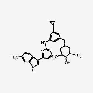 Cc1ccc2c(-c3ccnc(Nc4cc(CN5CC(C)N(O)C(C)C5)cc(C5CC5)c4)n3)c[nH]c2c1